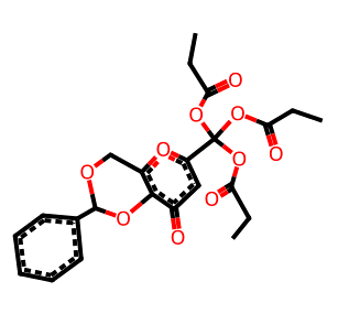 CCC(=O)OC(OC(=O)CC)(OC(=O)CC)c1cc(=O)c2c(o1)COC(c1ccccc1)O2